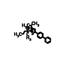 BC(C)(CCC)c1sc(-c2ccc(-c3ccccc3)cc2)cc1C(C)C